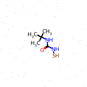 CC(C)(C)NC(=O)NS